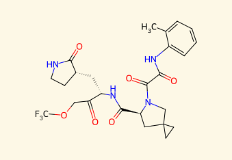 Cc1ccccc1NC(=O)C(=O)N1CC2(CC2)C[C@H]1C(=O)N[C@@H](C[C@@H]1CCNC1=O)C(=O)COC(F)(F)F